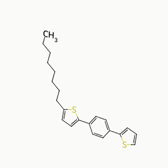 CCCCCCCCc1ccc(-c2ccc(-c3cccs3)cc2)s1